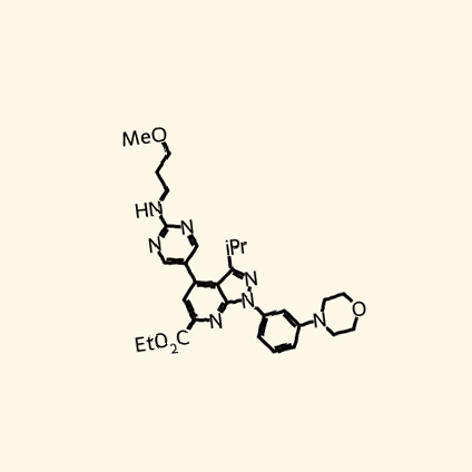 CCOC(=O)c1cc(-c2cnc(NCCCOC)nc2)c2c(C(C)C)nn(-c3cccc(N4CCOCC4)c3)c2n1